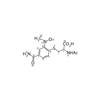 CC(=O)NC(CSc1ccc(C(N)=O)cc1[N+](C)=O)C(=O)O